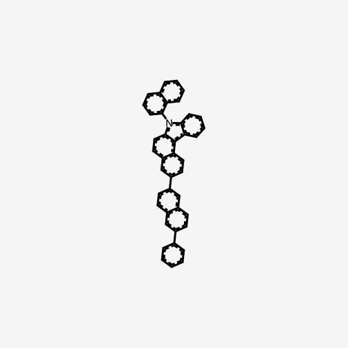 c1ccc(-c2ccc3cc(-c4ccc5c(ccc6c5c5ccccc5n6-c5cccc6ccccc56)c4)ccc3c2)cc1